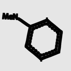 CNc1[c]cc[c]c1